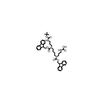 CC(C)(C)OC(=O)NCCCN(CCCCN(CCCNC(=O)O)C(=O)OCC1c2ccccc2-c2ccccc21)C(=O)OCC1c2ccccc2-c2ccccc21